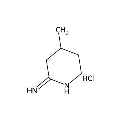 CC1CCNC(=N)C1.Cl